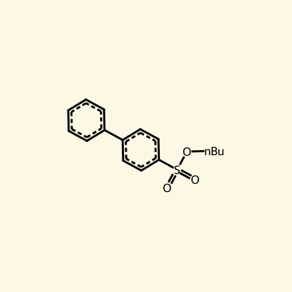 CCCCOS(=O)(=O)c1ccc(-c2ccccc2)cc1